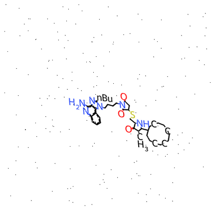 CCCCc1nc2c(N)nc3ccccc3c2n1CCCCN1C(=O)CC(SCC2NC(C3CCCCCCCCCCCC3)C(C)C2=O)C1=O